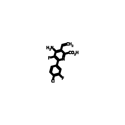 C=Cc1c(C(=O)O)nc(-c2ccc(Cl)c(F)c2)c(F)c1N